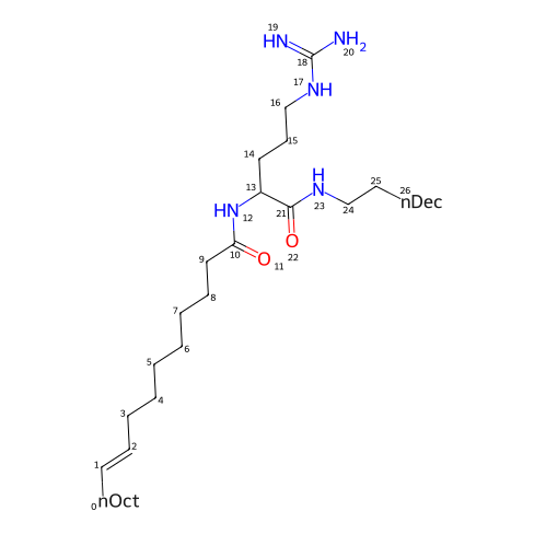 CCCCCCCC/C=C/CCCCCCCC(=O)NC(CCCNC(=N)N)C(=O)NCCCCCCCCCCCC